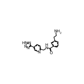 NCCc1cccc(C(=O)NCc2ccc(-c3nn[nH]n3)cn2)c1